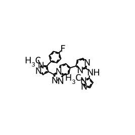 Cn1nccc1Nc1nccc(-c2ccn3c(-c4cnn(C)c4-c4ccc(F)cc4)nnc3c2)n1